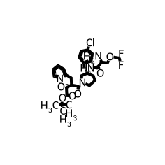 CC(C)(C)OC(=O)CC(Cc1cccc[n+]1[O-])C(=O)N1CCC[C@](Cc2ccc(Cl)cc2)(NC(=O)C(N)COC(F)F)C1